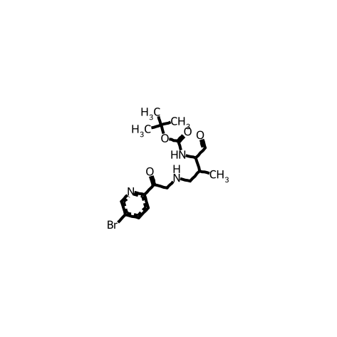 CC(CNCC(=O)c1ccc(Br)cn1)C(C=O)NC(=O)OC(C)(C)C